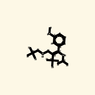 COc1cccc(C(OC(C)C)=C(COCC(C)(C)C)C(C)(C)C)c1